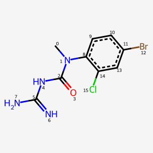 CN(C(=O)NC(=N)N)c1ccc(Br)cc1Cl